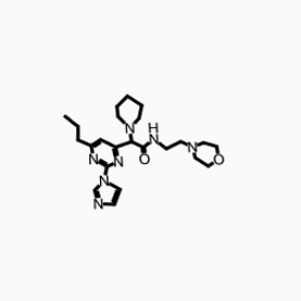 CCCc1cc(C(C(=O)NCCN2CCOCC2)N2CCCCC2)nc(-n2ccnc2)n1